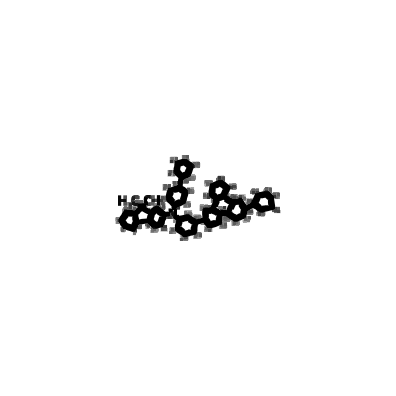 CC1(C)c2ccccc2-c2ccc(N(c3ccc(-c4ccccc4)cc3)c3cccc(-c4ccc5c6ccc(-c7ccccc7)cc6c6ccccc6c5c4)c3)cc21